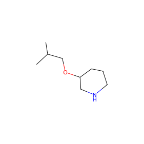 CC(C)COC1CCCNC1